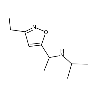 CCc1cc(C(C)NC(C)C)on1